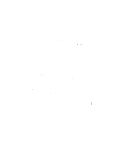 CCCCCCC(=O)O.O=C(NC(C(=O)O)C12CC3CC(CC(C3)C1)C2)c1ccccc1